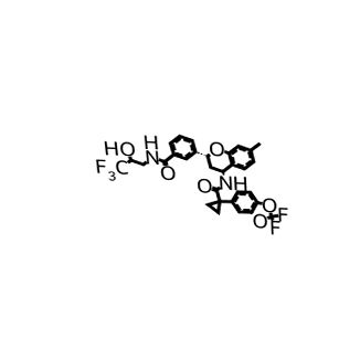 Cc1ccc2c(c1)O[C@@H](c1cccc(C(=O)NCC(O)C(F)(F)F)c1)C[C@H]2NC(=O)C1(c2ccc3c(c2)OC(F)(F)O3)CC1